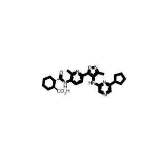 Cc1nc(-c2onc(C)c2Nc2cncc(C3CCCC3)n2)ccc1NC(=O)[C@H]1CCCC[C@@H]1C(=O)O